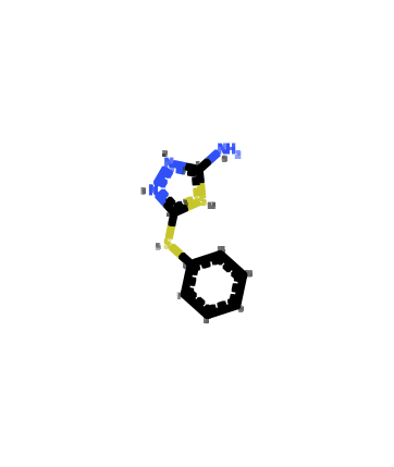 Nc1nnc(Sc2ccccc2)s1